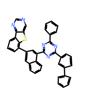 c1ccc(-c2cccc(-c3nc(-c4ccccc4)nc(-c4cc(-c5cccc6c5sc5cncnc56)cc5ccccc45)n3)c2)cc1